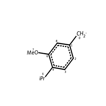 [CH2]c1ccc(C(C)C)c(OC)c1